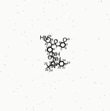 COc1cccc(CC(=O)C(c2cccc(NC(=O)Nc3cc(C(C)(C)C)nn3-c3ccc(C)cc3)c2)C2CCNCC2)c1